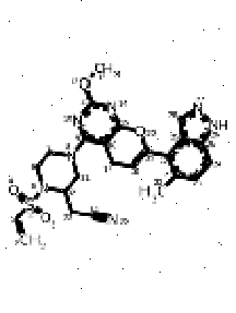 C=CS(=O)(=O)N1CCN(c2nc(OC)nc3c2CC=C(c2c(C)ccc4[nH]ncc24)O3)CC1CC#N